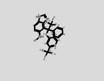 FNc1ccc2[nH]cnc2c1C(Sc1ccnc(C(F)(F)F)c1)(c1ccccc1)C(F)(F)F